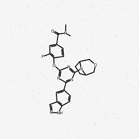 CN(C)C(=O)c1ccc(Oc2nc(-c3ccc4[nH]ncc4c3)nc(N3C4CCC3COC4)n2)c(F)c1